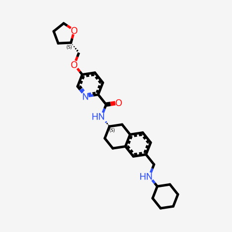 O=C(N[C@H]1CCc2cc(CNC3CCCCC3)ccc2C1)c1ccc(OC[C@@H]2CCCO2)cn1